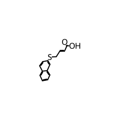 O=C(O)C=CCSc1ccc2ccccc2c1